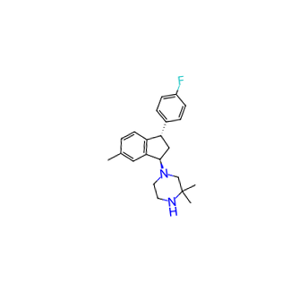 Cc1ccc2c(c1)[C@H](N1CCNC(C)(C)C1)C[C@H]2c1ccc(F)cc1